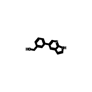 OCc1cccc(-c2cnc3[nH]ccc3c2)c1